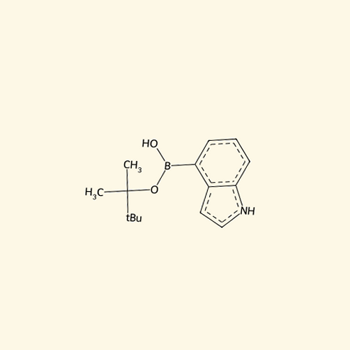 CC(C)(C)C(C)(C)OB(O)c1cccc2[nH]ccc12